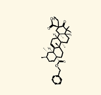 CCC1(C(=O)O)C[C@]2(C)[C@H]3CC=C4[C@@H]5[C@@H](C)[C@H](C)CC[C@]5(C(=O)OCc5ccccc5)CC[C@@]4(C)[C@]3(C)CC[C@H]2C(C)(C)C1=O